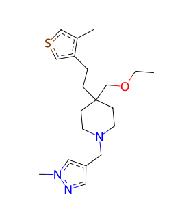 CCOCC1(CCc2cscc2C)CCN(Cc2cnn(C)c2)CC1